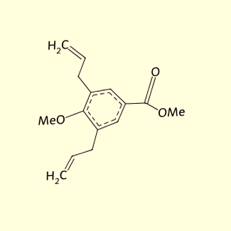 C=CCc1cc(C(=O)OC)cc(CC=C)c1OC